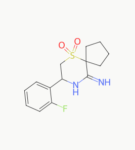 N=C1NC(c2ccccc2F)CS(=O)(=O)C12CCCC2